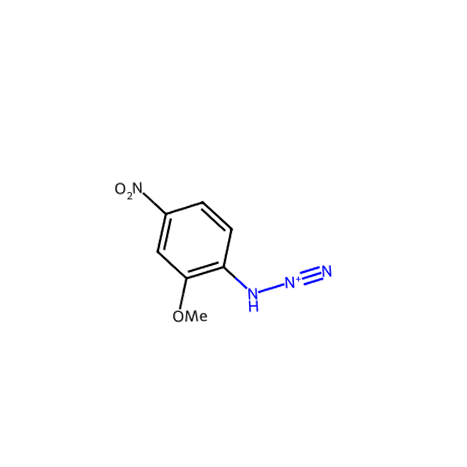 COc1cc([N+](=O)[O-])ccc1N[N+]#N